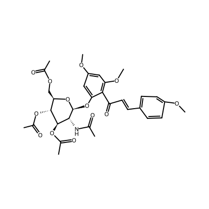 COc1ccc(C=CC(=O)c2c(OC)cc(OC)cc2O[C@@H]2O[C@H](COC(C)=O)[C@@H](OC(C)=O)[C@H](OC(C)=O)[C@H]2NC(C)=O)cc1